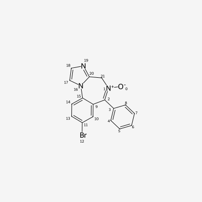 [O-][N+]1=C(c2ccccc2)c2cc(Br)ccc2-n2ccnc2C1